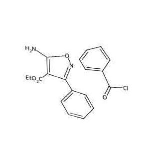 CCOC(=O)c1c(-c2ccccc2)noc1N.O=C(Cl)c1ccccc1